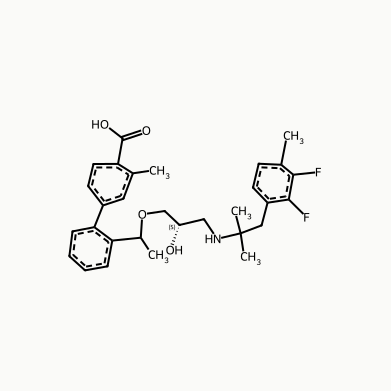 Cc1cc(-c2ccccc2C(C)OC[C@@H](O)CNC(C)(C)Cc2ccc(C)c(F)c2F)ccc1C(=O)O